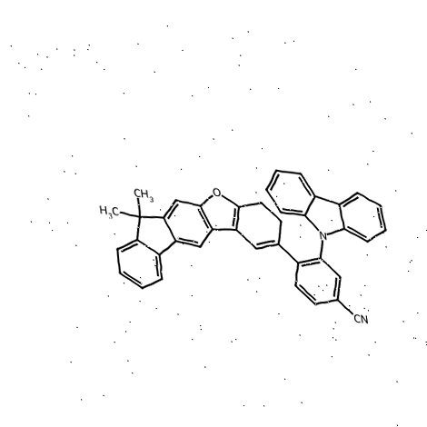 CC1(C)c2ccccc2-c2cc3c4c(oc3cc21)CCC(c1ccc(C#N)cc1-n1c2ccccc2c2ccccc21)=C4